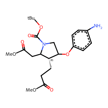 COC(=O)CC[C@H]1C(Oc2ccc(N)cc2)CN(C(=O)OC(C)(C)C)C1CC(=O)OC